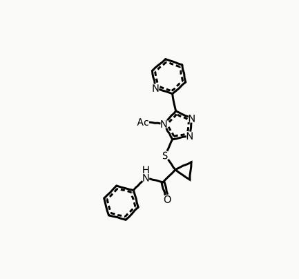 CC(=O)n1c(SC2(C(=O)Nc3ccccc3)CC2)nnc1-c1ccccn1